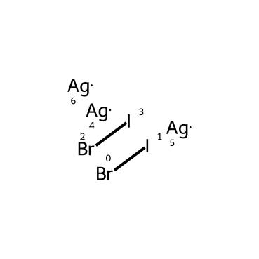 BrI.BrI.[Ag].[Ag].[Ag]